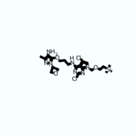 Cc1nn(C2COC2)c(OCCCNc2nc(Cl)nc3c2c(Cl)cn3COCC[Si](C)(C)C)c1N